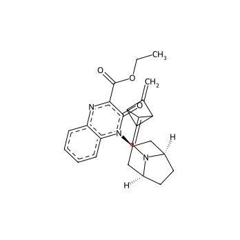 C=C1C2CC1C2=CN1[C@@H]2CC[C@H]1C[C@@H](n1c(=O)c(C(=O)OCC)nc3ccccc31)C2